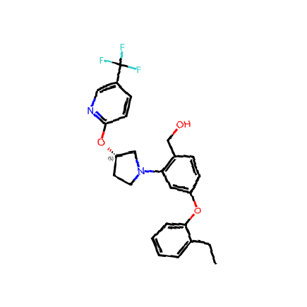 CCc1ccccc1Oc1ccc(CO)c(N2CC[C@H](Oc3ccc(C(F)(F)F)cn3)C2)c1